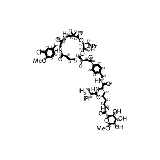 COc1ccc(C[C@H]2NC(=O)/C=C/C[C@@H]([C@H](C)[C@H]3O[C@@H]3c3ccc(CNC(=O)[C@H](CCCCNC(=O)[C@H]4O[C@@H](OC)[C@H](O)[C@@H](O)[C@@H]4O)NC(=O)[C@@H](N)C(C)C)cc3)OC(O)[C@H](CC(C)C)OC(=O)C(C)(C)CNC2=O)cc1Cl